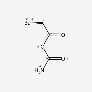 CC[C@H](C)CC(=O)OC(N)=O